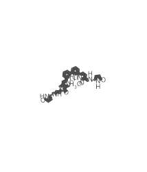 COc1nc(-c2cccc(-c3cccc(-c4cc5c(cn4)C(=O)N(CCNC[C@@H]4CCC(=O)N4)C5)c3Cl)c2Cl)ccc1CNC[C@@H]1CCC(=O)N1